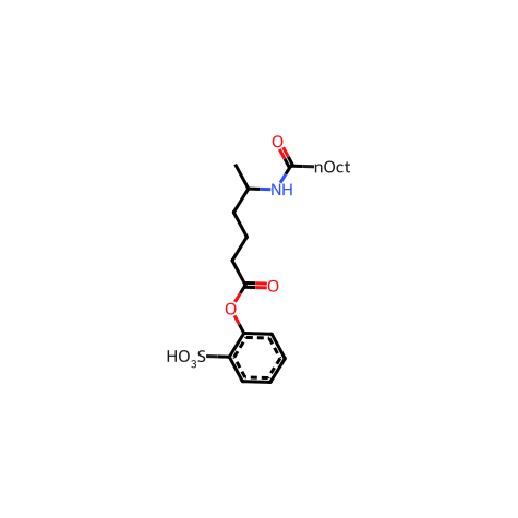 CCCCCCCCC(=O)NC(C)CCCC(=O)Oc1ccccc1S(=O)(=O)O